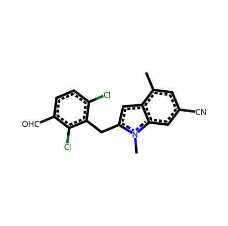 Cc1cc(C#N)cc2c1cc(Cc1c(Cl)ccc(C=O)c1Cl)n2C